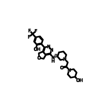 O=C(CN1CCC[C@@H](Nc2nnc(-c3ccc(C(F)(F)F)cc3O)c3c2COC3)C1)N1CCC(O)CC1